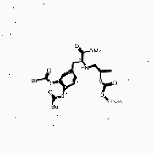 CCCCCOC(=O)OC(C)CN[C@@H](Cc1ccc(OC(=O)C(C)CC)c(OC(=O)C(C)CC)c1)C(=O)OC